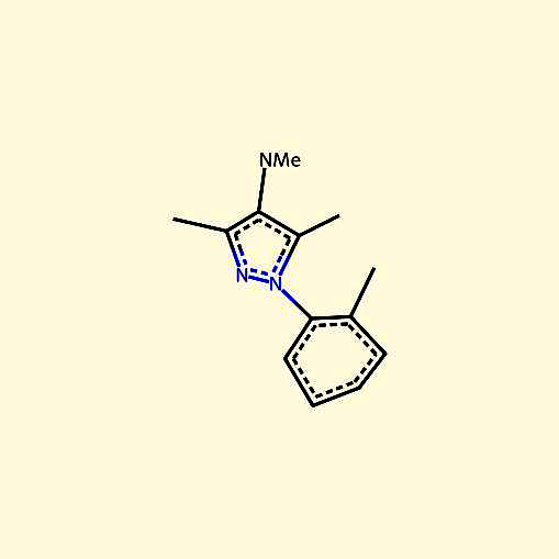 CNc1c(C)nn(-c2ccccc2C)c1C